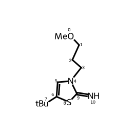 COCCCn1cc(C(C)(C)C)sc1=N